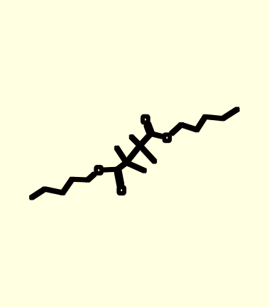 CCCCCOC(=O)C(C)(C)C(C)(C)C(=O)OCCCCC